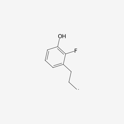 [CH2]CCc1cccc(O)c1F